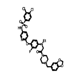 CCN(CC(=O)N1CCN(Cc2ccc3c(c2)OCO3)CC1)c1ccc(Oc2ccc(NS(=O)(=O)c3ccc(Cl)c(Cl)c3)cn2)c(F)c1